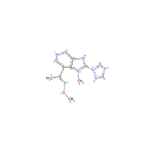 CON=C(C)c1cncc2nc(-n3cncn3)n(C)c12